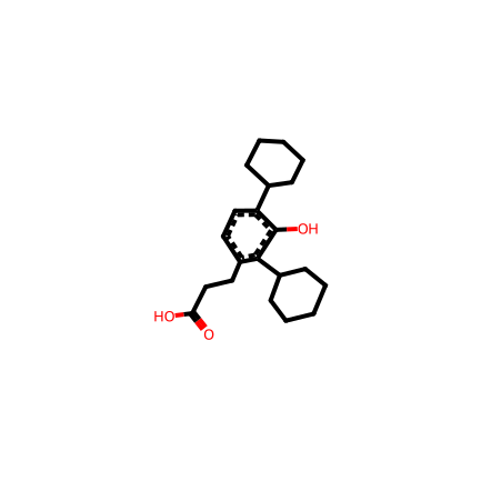 O=C(O)CCc1ccc(C2CCCCC2)c(O)c1C1CCCCC1